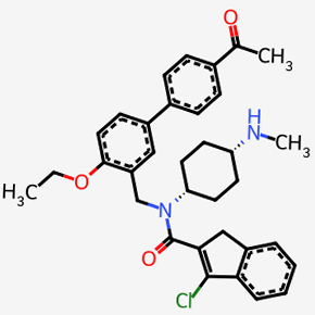 CCOc1ccc(-c2ccc(C(C)=O)cc2)cc1CN(C(=O)C1=C(Cl)c2ccccc2C1)[C@H]1CC[C@@H](NC)CC1